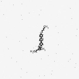 CCCCCCOc1ccc(-c2ccc(-c3ccc(OC(=O)C(C)(F)CCCCC)cc3)cn2)cc1